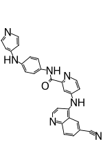 N#Cc1ccc2nccc(Nc3ccnc(C(=O)Nc4ccc(Nc5ccncc5)cc4)c3)c2c1